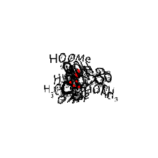 COc1cc2c(cc1O)CCN[C@]21CS[C@@H]2c3c(OC(C)=O)c(C)c4c(c3[C@H](COC1=O)N1C2[C@H]2c3c(cc(C)c(OC)c3OC(C)C)C[C@@H]([C@@H]1O)N2C)OCO4